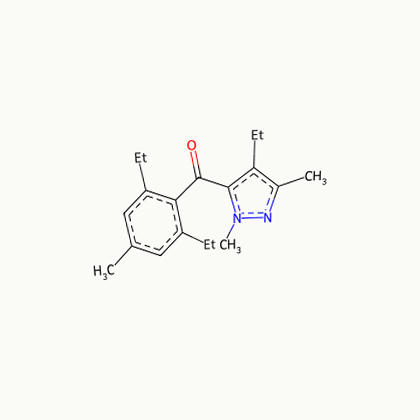 CCc1cc(C)cc(CC)c1C(=O)c1c(CC)c(C)nn1C